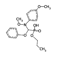 CCCOP(=O)(O)C(Oc1ccccc1)N(OC)c1ccc(OC)cc1